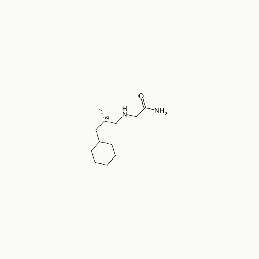 C[C@H](CNCC(N)=O)CC1CCCCC1